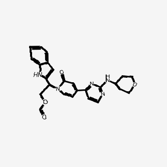 O=COCC(c1cc2ccccc2[nH]1)n1ccc(-c2ccnc(NC3CCOCC3)n2)cc1=O